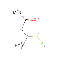 CNC(=O)CC(SF)C(=O)O